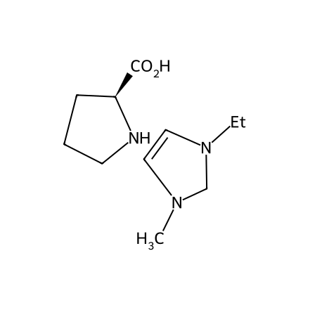 CCN1C=CN(C)C1.O=C(O)[C@@H]1CCCN1